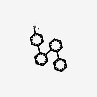 Nc1ccc(-c2ccccc2-c2ccccc2-c2ccccc2)cc1